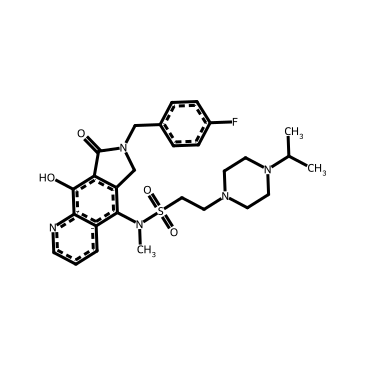 CC(C)N1CCN(CCS(=O)(=O)N(C)c2c3c(c(O)c4ncccc24)C(=O)N(Cc2ccc(F)cc2)C3)CC1